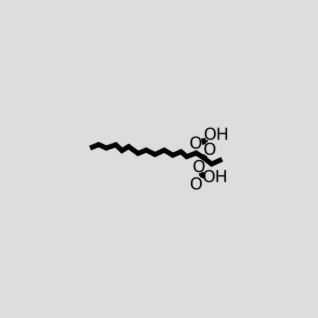 CCCCCCCCCCCCCCC(CC)(OC(=O)O)OC(=O)O